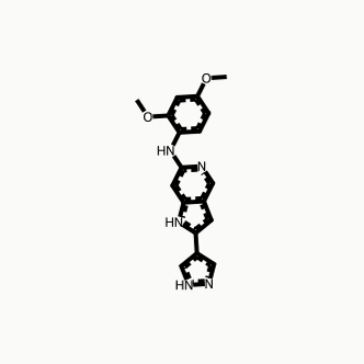 COc1ccc(Nc2cc3[nH]c(-c4cn[nH]c4)cc3cn2)c(OC)c1